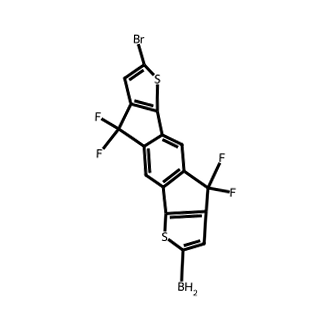 Bc1cc2c(s1)-c1cc3c(cc1C2(F)F)-c1sc(Br)cc1C3(F)F